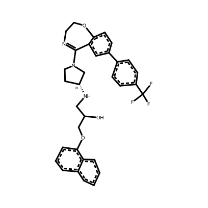 OC(CN[C@@H]1CCN(C2=NCCOc3ccc(-c4ccc(C(F)(F)F)cc4)cc32)C1)COc1cccc2ccccc12